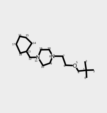 CC(C)(C)COCCN1CCN(CC2CCCCC2)CC1